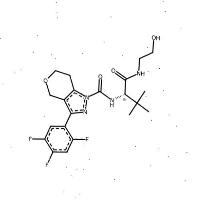 CC(C)(C)[C@H](NC(=O)n1nc(-c2cc(F)c(F)cc2F)c2c1CCOC2)C(=O)NCCO